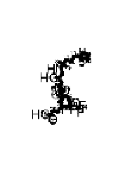 CN(CC(O)CNC(C)(C)CCCc1cccs1)S(=O)(=O)c1cc(CCC(=O)O)cc(OC(F)(F)F)c1